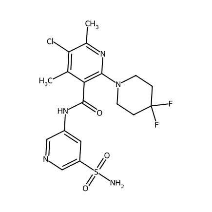 Cc1nc(N2CCC(F)(F)CC2)c(C(=O)Nc2cncc(S(N)(=O)=O)c2)c(C)c1Cl